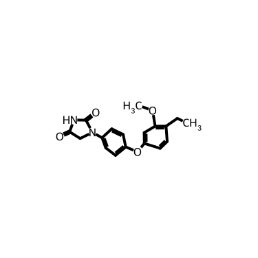 CCc1ccc(Oc2ccc(N3CC(=O)NC3=O)cc2)cc1OC